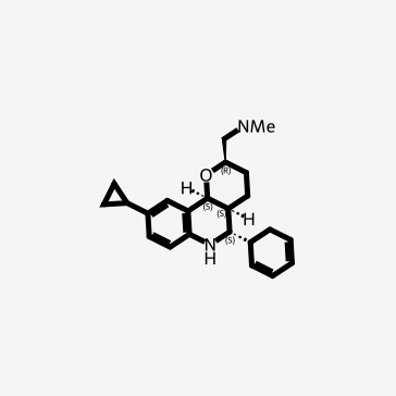 CNC[C@H]1CC[C@@H]2[C@H](O1)c1cc(C3CC3)ccc1N[C@H]2C1C=CC=CC1